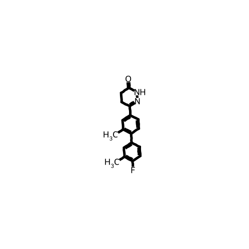 Cc1cc(-c2ccc(C3=NNC(=O)CC3)cc2C)ccc1F